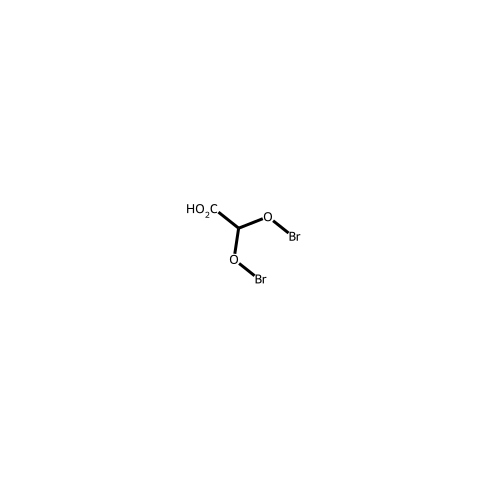 O=C(O)C(OBr)OBr